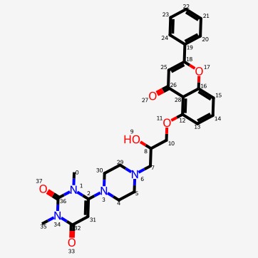 Cn1c(N2CCN(CC(O)COc3cccc4oc(-c5ccccc5)cc(=O)c34)CC2)cc(=O)n(C)c1=O